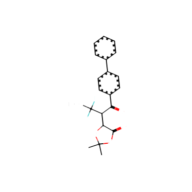 CC1(C)OC(=O)C(C(C(=O)c2ccc(-c3ccccc3)cc2)C(F)(F)C(=O)O)O1